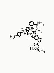 COc1cc2c(cc1Nc1nc(Nc3ccccc3C(N)=O)c3ccn(S(=O)(=O)c4ccc(C)cc4)c3n1)N(C(=O)CN(C)C)CC2